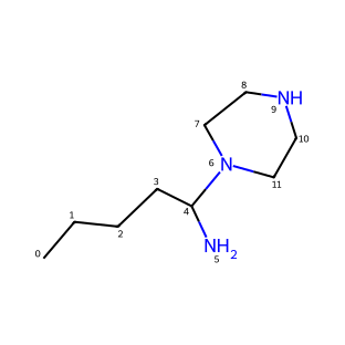 CCCCC(N)N1CCNCC1